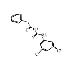 O=C(Cc1ccccc1)NC(=S)Nc1cc(Cl)cc(Cl)c1